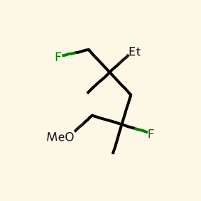 CCC(C)(CF)CC(C)(F)COC